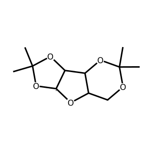 CC1(C)O[C]2OC3COC(C)(C)OC3C2O1